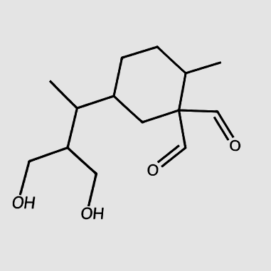 CC(C(CO)CO)C1CCC(C)C(C=O)(C=O)C1